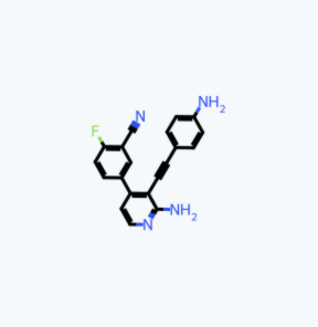 N#Cc1cc(-c2ccnc(N)c2C#Cc2ccc(N)cc2)ccc1F